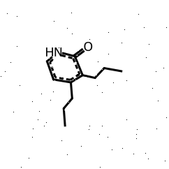 CCCc1cc[nH]c(=O)c1CCC